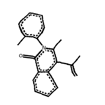 C=C(C)c1c(C)n(-c2ccccc2C)c(=O)c2ccccc12